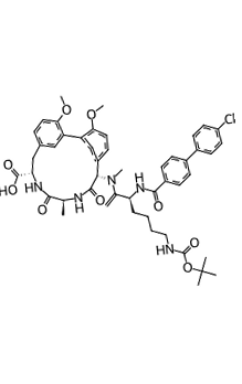 C=C([C@H](CCCCNC(=O)OC(C)(C)C)NC(=O)c1ccc(-c2ccc(Cl)cc2)cc1)N(C)[C@@H]1C(=O)N[C@@H](C)C(=O)N[C@H](C(=O)O)Cc2ccc(OC)c(c2)-c2cc1ccc2OC